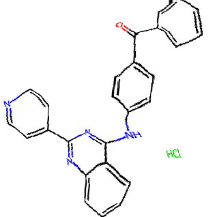 Cl.O=C(c1ccccc1)c1ccc(Nc2nc(-c3ccncc3)nc3ccccc23)cc1